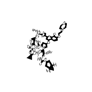 CC[C@@H]1C[C@]1(NC(=O)[C@@H]1C[C@@H](Oc2cc(-c3csc(NC(C)C)n3)nc3c(Cl)c(OCCN4CCOCC4)ccc23)CN1C(=O)[C@@H](NC(=O)O[C@@H]1C[C@@H]2C[C@@H]2C1)C(C)(C)C)C(=O)NS(=O)(=O)OC1(C)CC1